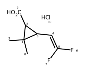 CC1(C)C(C=C(F)F)C1C(=O)O.Cl